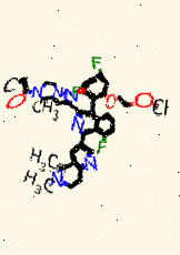 C=CC(=O)N1CCn2nc(-c3nc(-c4cnc5c(c4)[C@@H](C)N(C)CC5)c4c(F)cccc4c3-c3c(F)cc(F)cc3OCCOC)cc2[C@H]1C